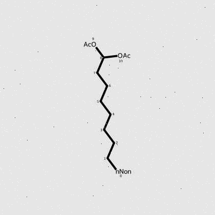 CCCCCCCCCCCCCCCCC(OC(C)=O)OC(C)=O